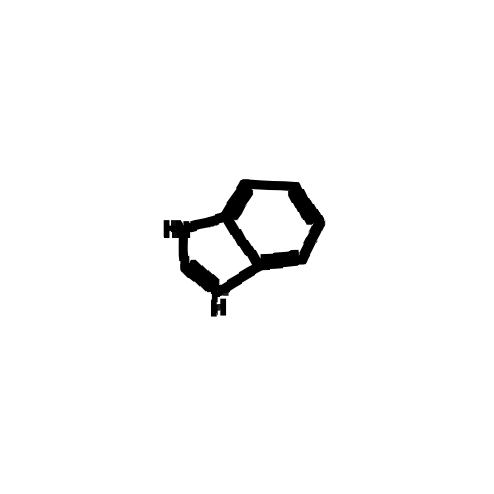 C1=[PH]c2ccccc2N1